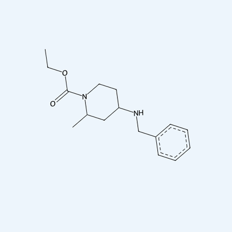 CCOC(=O)N1CCC(NCc2ccccc2)CC1C